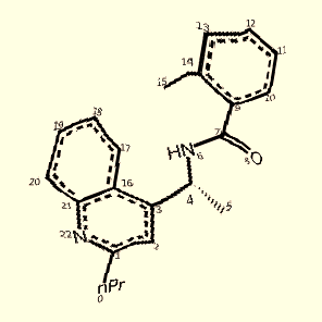 CCCc1cc([C@@H](C)NC(=O)c2ccccc2C)c2ccccc2n1